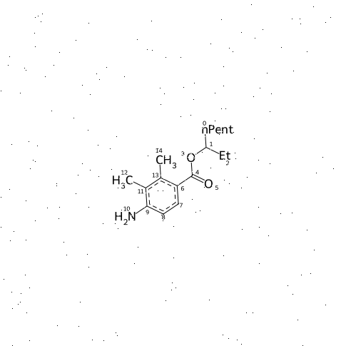 CCCCCC(CC)OC(=O)c1ccc(N)c(C)c1C